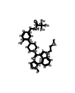 COCCn1cc(C(=O)N2CCC(c3cc(CNC(=O)C(F)(F)F)ccc3F)CC2)c2c(-c3ccnn3C)cccc21